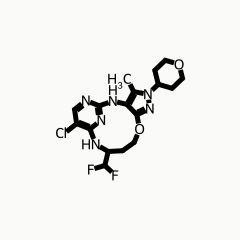 Cc1c2c(nn1C1CCOCC1)OCCC(C(F)F)Nc1nc(ncc1Cl)N2